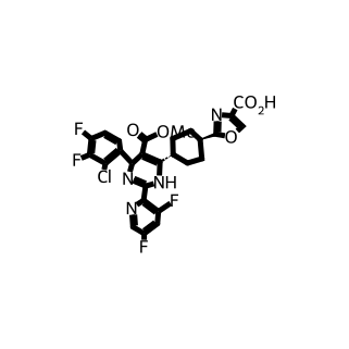 COC(=O)C1=C([C@H]2CC[C@H](c3nc(C(=O)O)co3)CC2)NC(c2ncc(F)cc2F)=NC1c1ccc(F)c(F)c1Cl